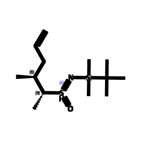 C=CC[C@H](C)[C@@H](C)/[SH](=O)=N/[Si](C)(C)C(C)(C)C